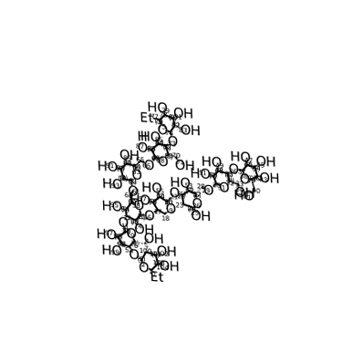 CCC1O[C@@H](OC2[C@@H](CO)O[C@H](OC3[C@@H](O)[C@@H](OC4CO[C@H](O[C@H]5C[C@H](O)O[C@@H](COC6O[C@H](CO)[C@@H](OC7O[C@H](CO)[C@@H](O)[C@H](O)[C@H]7O)[C@H](O)[C@H]6O)[C@@H]5O)[C@H](O)[C@H]4O)O[C@H](CO[C@@H]4O[C@H](CO[C@@H]5O[C@@H](CO)[C@H](OC6O[C@@H](CC)C(O)[C@@H](O)[C@@H]6O)[C@@H](O)[C@@H]5O)[C@@H](O)[C@H](O)[C@H]4O)[C@H]3O)[C@H](O)[C@H]2O)C[C@@H](O)[C@@H]1O